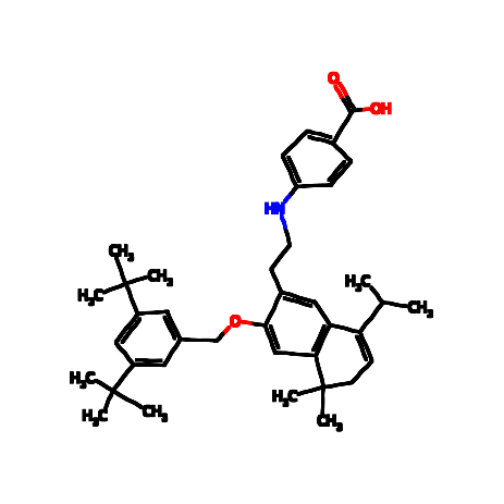 CC(C)C1=CCC(C)(C)c2cc(OCc3cc(C(C)(C)C)cc(C(C)(C)C)c3)c(CCNc3ccc(C(=O)O)cc3)cc21